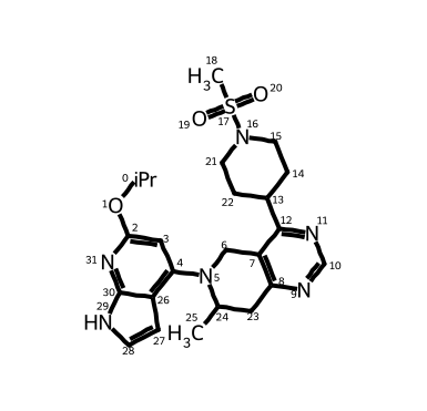 CC(C)Oc1cc(N2Cc3c(ncnc3C3CCN(S(C)(=O)=O)CC3)CC2C)c2cc[nH]c2n1